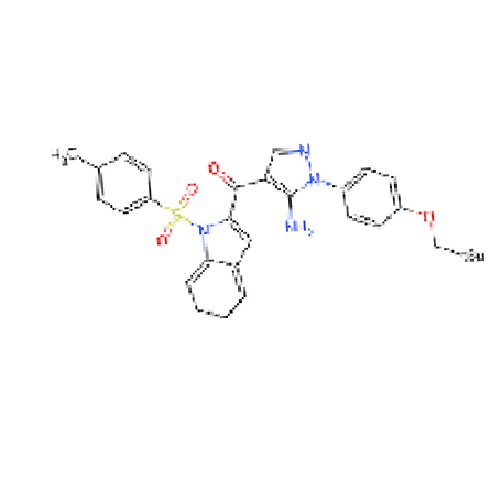 Cc1ccc(S(=O)(=O)n2c(C(=O)c3cnn(-c4ccc(OCC(C)(C)C)cc4)c3N)cc3c2=CCCC=3)cc1